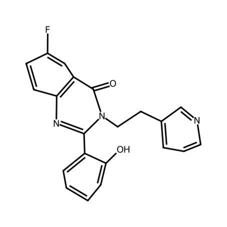 O=c1c2cc(F)ccc2nc(-c2ccccc2O)n1CCc1cccnc1